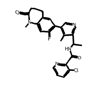 Cc1c(-c2cc3c(cc2F)N(C)C(=O)CC3)cncc1C(C)NC(=O)c1ncccc1Cl